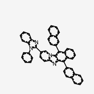 c1ccc(-n2c(-c3ccc4nc5c(-c6ccc7ccccc7c6)c6ccccc6c(-c6ccc7ccccc7c6)c5n4c3)nc3ccccc32)cc1